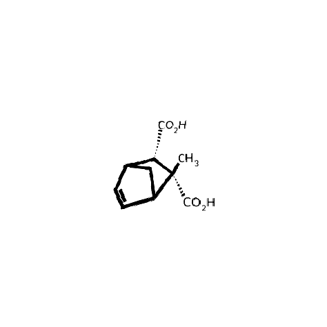 C[C@@]1(C(=O)O)C2C=CC(C2)[C@@H]1C(=O)O